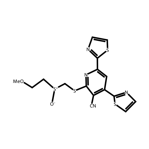 COCC[S+]([O-])CSc1nc(-c2nccs2)cc(-c2nccs2)c1C#N